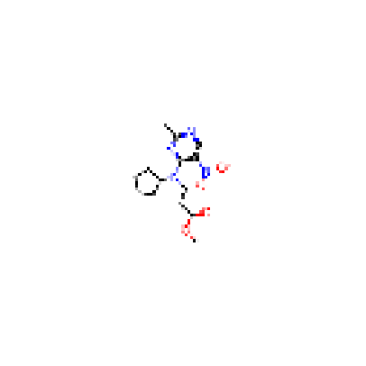 COC(=O)CCN(c1nc(C)ncc1[N+](=O)[O-])C1CCCC1